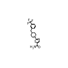 NC(=O)c1cnc(N2CCC(Cc3cccc(C(F)(F)F)c3)CC2)s1